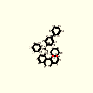 Cc1ccc[c]c1-c1c(C)cccc1[P@@](C1CCCCC1)[P@](c1ccccc1)c1ccc(-c2ccccc2)cc1